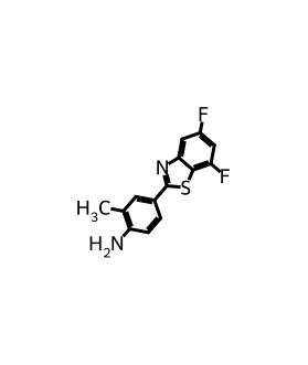 Cc1cc(-c2nc3cc(F)cc(F)c3s2)ccc1N